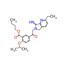 CCCCOC(=O)c1cc(C(=O)CN2Cc3ccc(CC)nc3C2=N)ccc1OC(C)C